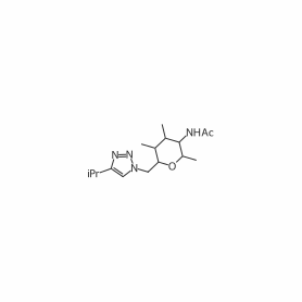 CC(=O)NC1C(C)OC(Cn2cc(C(C)C)nn2)C(C)C1C